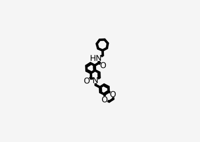 O=C(NCC1CCCCCC1)c1cccc2c(=O)n(Cc3ccc4c(c3)OCCO4)ccc12